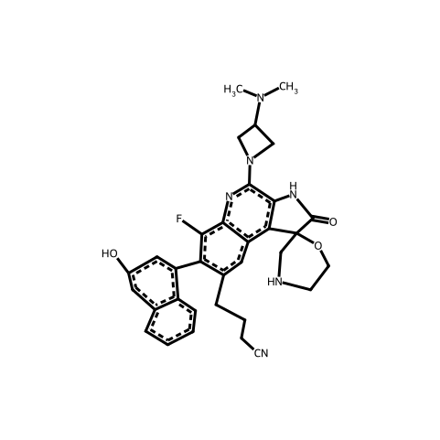 CN(C)C1CN(c2nc3c(F)c(-c4cc(O)cc5ccccc45)c(CCCC#N)cc3c3c2NC(=O)C32CNCCO2)C1